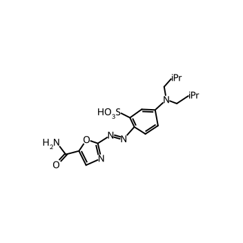 CC(C)CN(CC(C)C)c1ccc(N=Nc2ncc(C(N)=O)o2)c(S(=O)(=O)O)c1